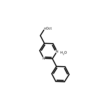 CCCCCCCCCc1cnc(-c2ccccc2)nc1.O